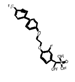 O=P(O)(O)C(O)c1ccc(OCCOc2ccc(-c3ccc(C(F)(F)F)cc3)cc2)c(F)c1